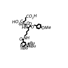 CCC[CH2][Sn]([CH2]CCC)([CH2]CCC)[c]1cncc(C(=O)NCCCCC(NC(=O)NC(CCC(=O)O)C(=O)O)C(=O)OCc2ccc(OC)cc2)c1